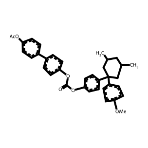 COc1ccc(C2(c3ccc(OC(=O)Oc4ccc(-c5ccc(OC(C)=O)cc5)cc4)cc3)CC(C)CC(C)C2)cc1